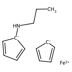 CCCN[c-]1cccc1.[Fe+2].c1cc[cH-]c1